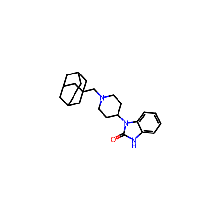 O=c1[nH]c2ccccc2n1C1CCN(CC23CC4CC(CC(C4)C2)C3)CC1